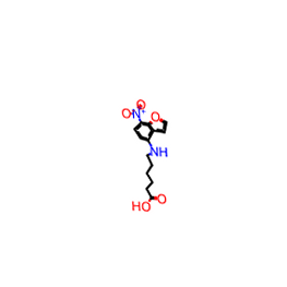 O=C(O)CCCCCNc1ccc([N+](=O)[O-])c2occc12